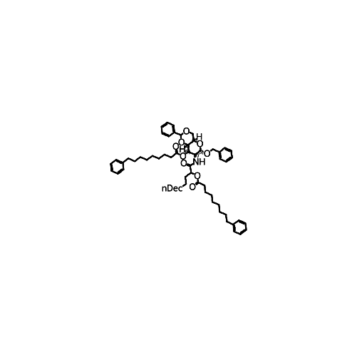 CCCCCCCCCCCCC(OC(=O)CCCCCCCCc1ccccc1)C(=O)N[C@H]1[C@@H](OCc2ccccc2)O[C@@H]2COC(c3ccccc3)O[C@H]2[C@@H]1OC(=O)CCCCCCCCc1ccccc1